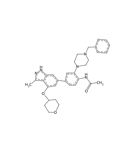 CC(=O)Nc1ccc(-c2cc(OC3CCOCC3)c3c(C)n[nH]c3c2)cc1N1CCN(Cc2ccccc2)CC1